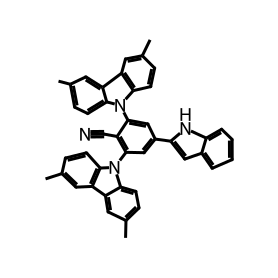 Cc1ccc2c(c1)c1cc(C)ccc1n2-c1cc(-c2cc3ccccc3[nH]2)cc(-n2c3ccc(C)cc3c3cc(C)ccc32)c1C#N